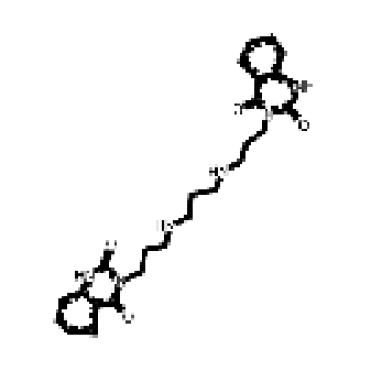 O=c1[nH]c2ccccc2c(=O)n1CCCNCCCNCCCn1c(=O)[nH]c2ccccc2c1=O